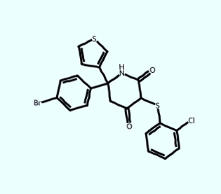 O=C1CC(c2ccc(Br)cc2)(c2ccsc2)NC(=O)C1Sc1ccccc1Cl